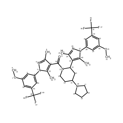 COc1cc(-n2nc(C)c(C(=O)N3CCC(N4CCCC4)CC3c3c(C)nn(-c4cc(OC)cc(C(F)(F)F)c4)c3C)c2C)cc(C(F)(F)F)c1